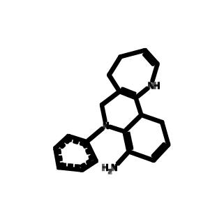 NC1=C2C(CC=C1)C1=C(CCC=CN1)CN2c1ccccc1